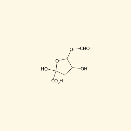 O=COC1OC(O)(C(=O)O)CC1O